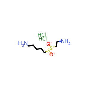 Cl.Cl.NCCCCC[S+]([O-])[S+]([O-])CCN